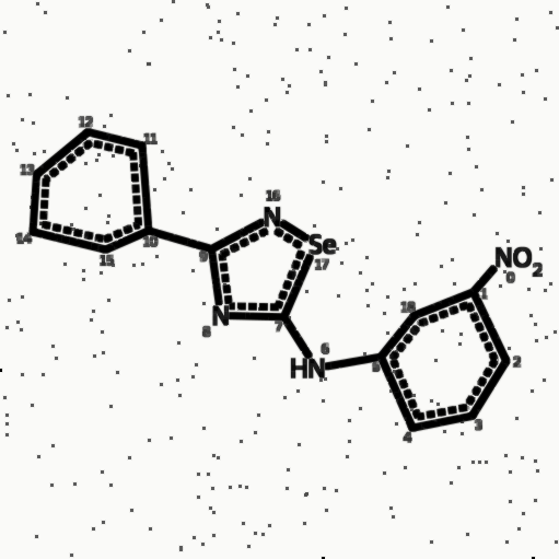 O=[N+]([O-])c1cccc(Nc2nc(-c3ccccc3)n[se]2)c1